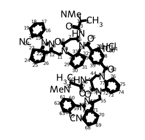 CN[C@@H](C)C(=O)NC1CC(=O)N(Cc2nn(-c3ccccc3C#N)c3ccccc23)c2ccccc2N1C(=O)c1ccc(C(=O)N2C[C@H](NC(=O)[C@H](C)NC)C(=O)N(Cc3nn(-c4ccccc4C#N)c4ccccc34)c3ccccc32)cc1.Cl.Cl